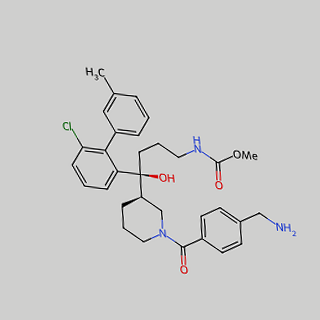 COC(=O)NCCC[C@@](O)(c1cccc(Cl)c1-c1cccc(C)c1)[C@@H]1CCCN(C(=O)c2ccc(CN)cc2)C1